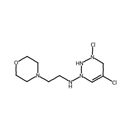 ClC1=CN(NCCN2CCOCC2)NN(Cl)C1